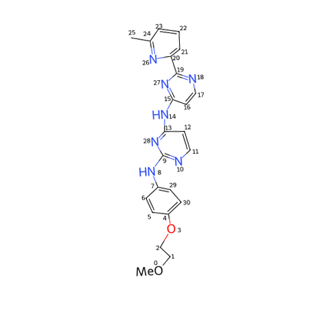 COCCOc1ccc(Nc2nccc(Nc3ccnc(-c4cccc(C)n4)n3)n2)cc1